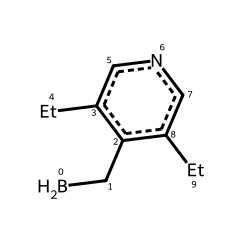 BCc1c(CC)cncc1CC